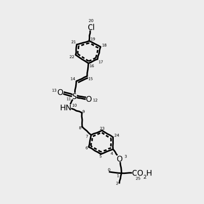 CC(C)(Oc1ccc(CCNS(=O)(=O)C=Cc2ccc(Cl)cc2)cc1)C(=O)O